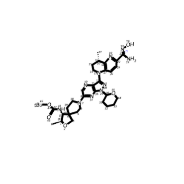 C[C@@H]1OCC2(CCN(c3cnc4c(N5CC[C@H](C)c6nc(/C(N)=N/O)ccc65)nn(C5CCCCO5)c4n3)CC2)[C@@H]1NC(=O)OC(C)(C)C